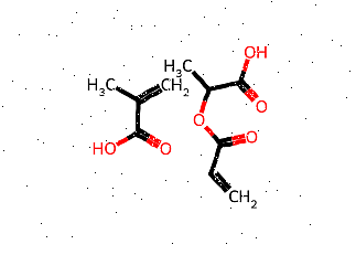 C=C(C)C(=O)O.C=CC(=O)OC(C)C(=O)O